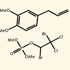 C=CCc1ccc(OC)c(OC)c1.COP(=O)(OC)OC(Br)C(Cl)(Cl)Br